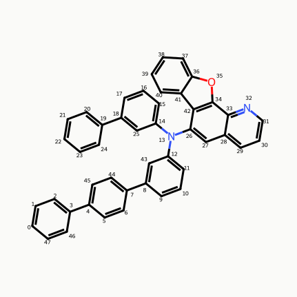 c1ccc(-c2ccc(-c3cccc(N(c4cccc(-c5ccccc5)c4)c4cc5cccnc5c5oc6ccccc6c45)c3)cc2)cc1